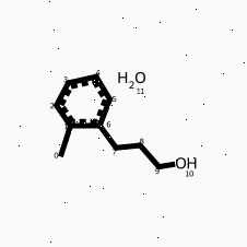 Cc1ccccc1CCCO.O